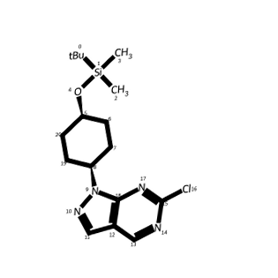 CC(C)(C)[Si](C)(C)O[C@H]1CC[C@@H](n2ncc3cnc(Cl)nc32)CC1